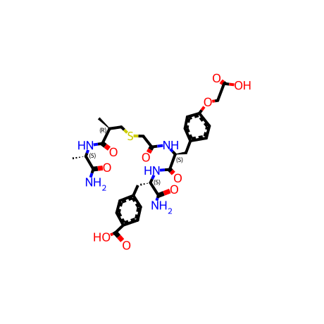 C[C@H](NC(=O)[C@@H](C)CSCC(=O)N[C@@H](Cc1ccc(OCC(=O)O)cc1)C(=O)N[C@@H](Cc1ccc(C(=O)O)cc1)C(N)=O)C(N)=O